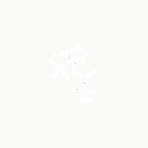 CC12CC3C(O1)C(OS3(=O)=O)C2OC(=O)C(F)(F)S(=O)(=O)O